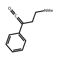 CNCCC(=C=O)c1ccccc1